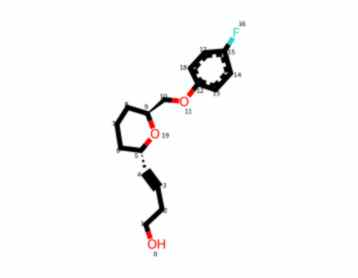 OCCC#C[C@@H]1CCC[C@@H](COc2ccc(F)cc2)O1